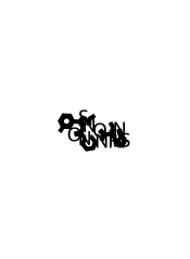 Cc1cccc(-c2sc(C)nc2C(=O)N2CCCC(NC(=O)c3c(C)nc4sccn34)C2)c1